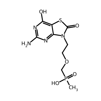 CP(=O)(O)COCCn1c(=O)sc2c(O)nc(N)nc21